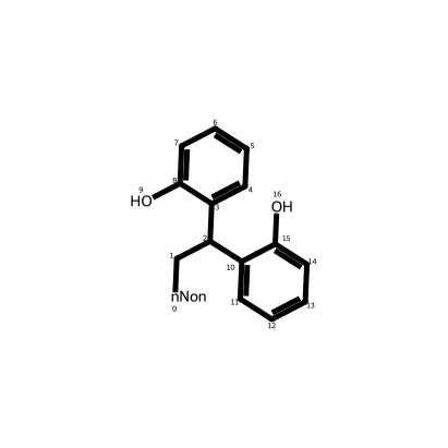 CCCCCCCCCCC(c1ccccc1O)c1ccccc1O